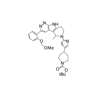 COCOc1ccccc1-c1cc2c3c([nH]c2nn1)CCN(c1ncc(C2CCN(C(=O)OC(C)(C)C)CC2)s1)C3C